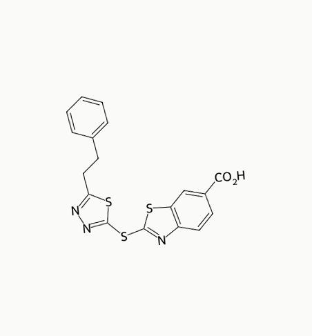 O=C(O)c1ccc2nc(Sc3nnc(CCc4ccccc4)s3)sc2c1